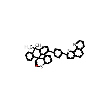 CC1(C)c2ccccc2C2(c3ccccc3Sc3ccccc32)c2cc(-c3ccc(-c4ccc5ccc6cccnc6c5n4)cc3)ccc21